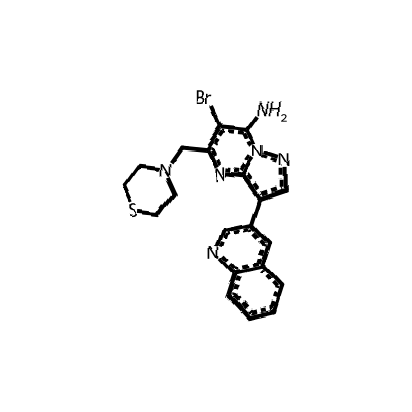 Nc1c(Br)c(CN2CCSCC2)nc2c(-c3cnc4ccccc4c3)cnn12